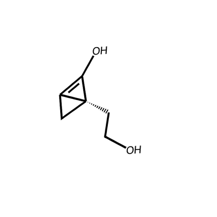 OCC[C@]12CC1=C2O